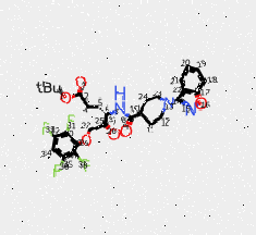 CC(C)(C)OC(=O)CC[C@H](NC(=O)C1CCN(c2noc3ccccc23)CC1)C(=O)COc1c(F)c(F)cc(F)c1F